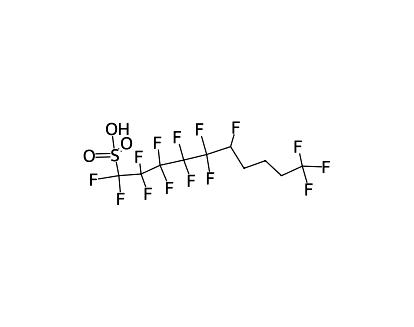 O=S(=O)(O)C(F)(F)C(F)(F)C(F)(F)C(F)(F)C(F)(F)C(F)CCCC(F)(F)F